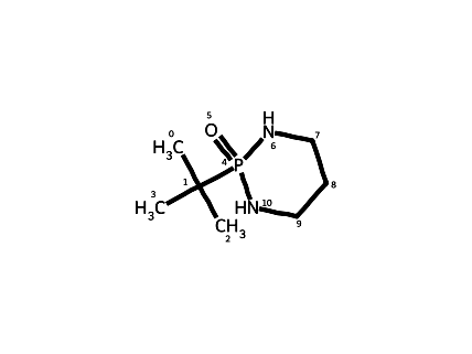 CC(C)(C)P1(=O)NCCCN1